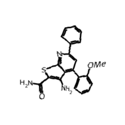 COc1ccccc1-c1cc(-c2ccccc2)nc2sc(C(N)=O)c(N)c12